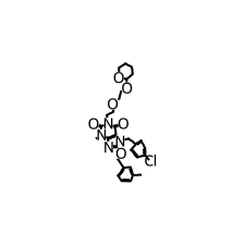 Cc1cccc(COc2nc3c(c(=O)n(CCOCCOC4CCCCO4)c(=O)n3C)n2Cc2ccc(Cl)cc2)c1